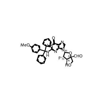 COc1ccc(C(Nc2nc3c(ncn3[C@@H]3O[C@](C=O)(CO)[C@@H](C)[C@@H]3F)c(=O)[nH]2)(c2ccccc2)c2ccccc2)cc1